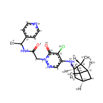 CCC(NC(=O)Cn1ncc(N[C@@H]2C[C@@H]3C[C@H]([C@H]2C)C3(C)C)c(Cl)c1=O)c1ccncc1